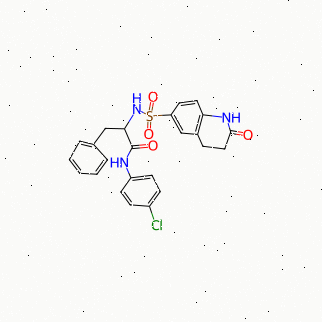 O=C1CCc2cc(S(=O)(=O)NC(Cc3ccccc3)C(=O)Nc3ccc(Cl)cc3)ccc2N1